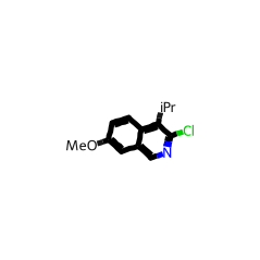 COc1ccc2c(C(C)C)c(Cl)ncc2c1